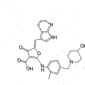 Cc1cc(CN2CCC(O)CC2)ccc1NC1=C(C(=O)O)C(=O)C(=Cc2c[nH]c3ncccc23)O1